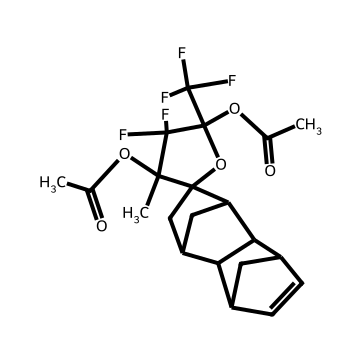 CC(=O)OC1(C)C2(CC3CC2C2C4C=CC(C4)C32)OC(OC(C)=O)(C(F)(F)F)C1(F)F